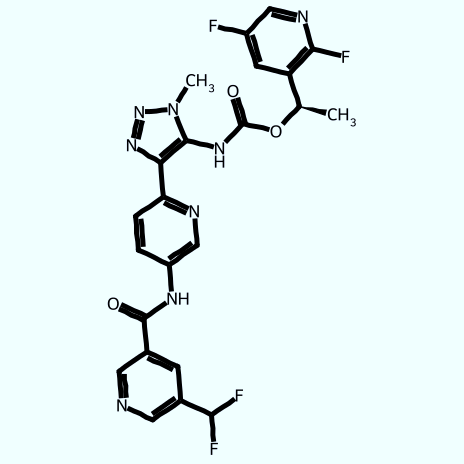 C[C@@H](OC(=O)Nc1c(-c2ccc(NC(=O)c3cncc(C(F)F)c3)cn2)nnn1C)c1cc(F)cnc1F